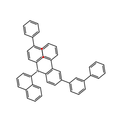 c1ccc(-c2ccc(N(c3ccc(-c4cccc(-c5ccccc5)c4)cc3-c3ccccc3)c3cccc4ccccc34)cc2)cc1